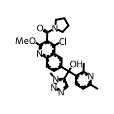 COc1nc2ccc(C(O)(c3ccc(C)nc3C)c3cnnn3C)cc2c(Cl)c1C(=O)N1CCCC1